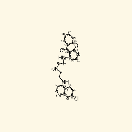 CN(CCNc1ccnc2cc(Cl)ccc12)CCNc1ccnc2oc3ccccc3c(=O)c12